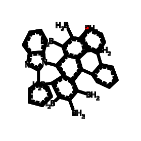 Bc1c(B)c(B)c2c(-n3c(-c4ccccc4)nc4ccccc43)c3c(B)c(B)c(B)c(B)c3c(-c3ccccc3-c3ccccc3)c2c1B